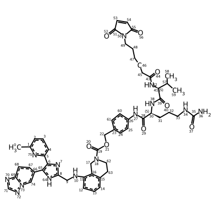 Cc1cccc(-c2nc(CNc3cccc4c3CN(C(=O)OCc3ccc(NC(=O)[C@H](CCCNC(N)=O)NC(=O)[C@@H](NC(=O)CCCCCN5C(=O)C=CC5=O)C(C)C)cc3)CC4)[nH]c2-c2ccc3ncnn3c2)n1